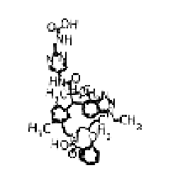 CCC1CN(Cc2cc(C(c3ccc4c(nnn4CC)c3C)C(C)(C)C(=O)Nc3cnc(CNC(=O)O)nc3)ccc2C)S(O)(O)c2ccccc2O1